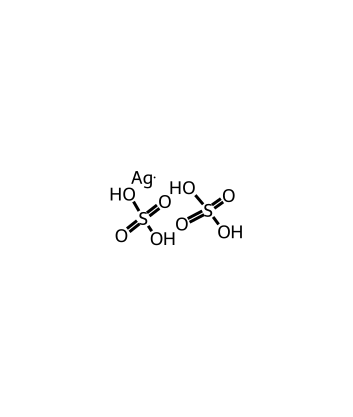 O=S(=O)(O)O.O=S(=O)(O)O.[Ag]